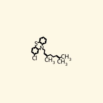 CC(C)=CCCC(C)=CCN1c2ccccc2Sc2ccc(Cl)cc21